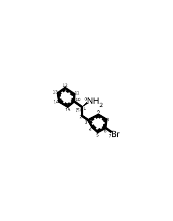 N[C@@H](Cc1ccc(Br)cc1)c1ccccc1